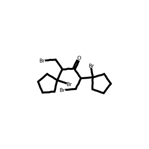 O=C(C(CBr)C1(Br)CCCC1)C(CBr)C1(Br)CCCC1